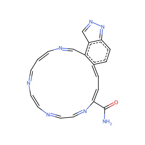 NC(=O)C1=CC=c2ccc3c(c2C=NC=CC=NC=CN=CC=N1)C=NN=3